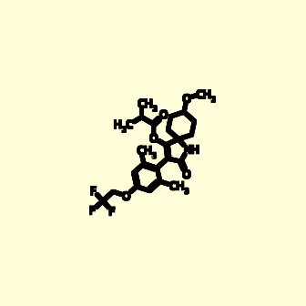 COC1CCC2(CC1)NC(=O)C(c1c(C)cc(OCC(F)(F)F)cc1C)=C2OC(=O)C(C)C